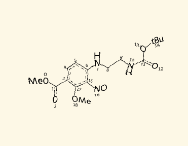 COC(=O)c1ccc(NCCNC(=O)OC(C)(C)C)c(N=O)c1OC